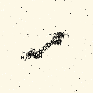 COC(=O)N[C@H](C(=O)N1[C@H](Cc2nc(-c3ccc(-c4ccc(-c5cnc([C@@H]6C[C@H]7CC[C@H]7N6C(=O)[C@@H](NC(=O)OC)C(C)C)[nH]5)cc4)cc3)c[nH]2)C[C@H]2CC[C@H]21)C(C)C